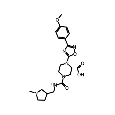 COc1ccc(-c2noc(N3CCN(C(=O)NCC4CCN(C)C4)CC3)n2)cc1.O=CO